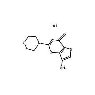 Cl.Nc1csc2c(=O)cc(N3CCOCC3)oc12